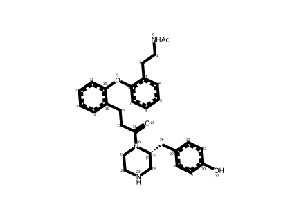 CC(=O)NCCc1ccccc1Oc1ccccc1CCC(=O)N1CCNC[C@H]1Cc1ccc(O)cc1